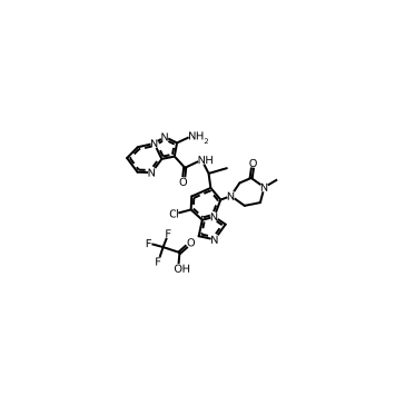 CC(NC(=O)c1c(N)nn2cccnc12)c1cc(Cl)c2cncn2c1N1CCN(C)C(=O)C1.O=C(O)C(F)(F)F